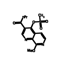 CCCC(=O)c1cnc2c(OC)nccc2c1OS(C)(=O)=O